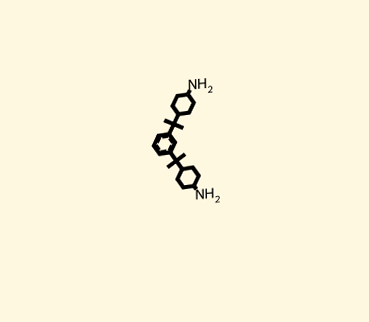 CC(C)(c1cccc(C(C)(C)C2CCC(N)CC2)c1)C1CCC(N)CC1